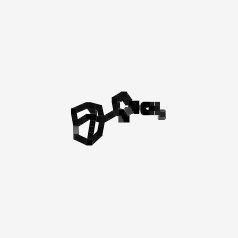 Cn1ccc(C23CC4CC(CC(C4)C2)C3)n1